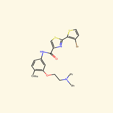 COc1ccc(NC(=O)c2csc(-c3sccc3Br)n2)cc1OCCN(C(C)C)C(C)C